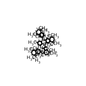 Cc1cc2c3c(c1)N(C1C=C4C(=CC1C)C(C)(C)CCC4(C)C)c1c(sc4c1C(C)(C)CCC4(C)C)B3c1cc3c(cc1N2c1ccc2c(c1)C(C)(C)CCC2(C)C)C(C)(C)CCC3(C)C